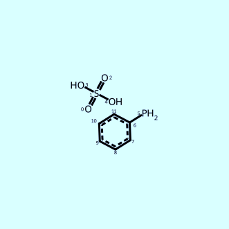 O=S(=O)(O)O.Pc1ccccc1